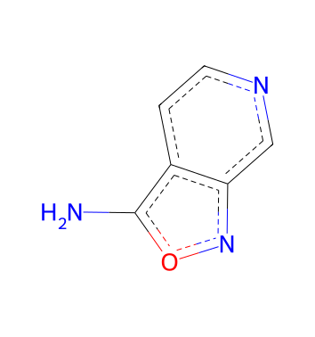 Nc1onc2cnccc12